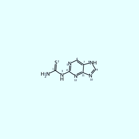 NC(=S)Nc1ncc2[nH]cnc2n1